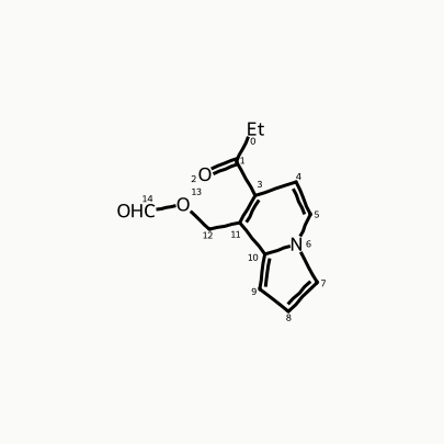 CCC(=O)c1ccn2cccc2c1COC=O